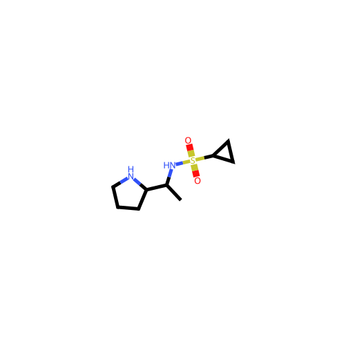 CC(NS(=O)(=O)C1CC1)C1CCCN1